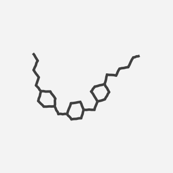 CCCCCCC1CCC(CC2CCC(CC3CCC(CCCCC)CC3)CC2)CC1